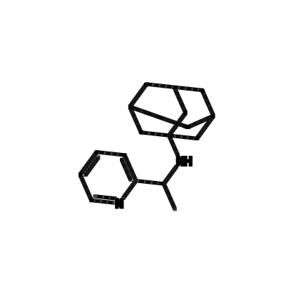 CC(NC12CC3CC(CC(C3)C1)C2)c1ccccn1